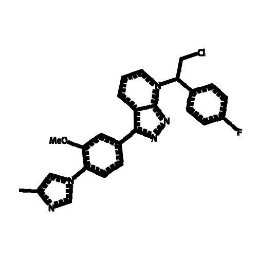 COc1cc(-c2nnc3n(C(CCl)c4ccc(F)cc4)cccc2-3)ccc1-n1cnc(C)c1